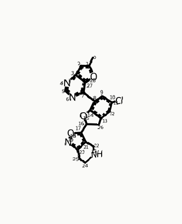 Cc1cc2ncnc(-c3cc(Cl)cc4c3OC(c3onc5c3CNCC5)C4)c2o1